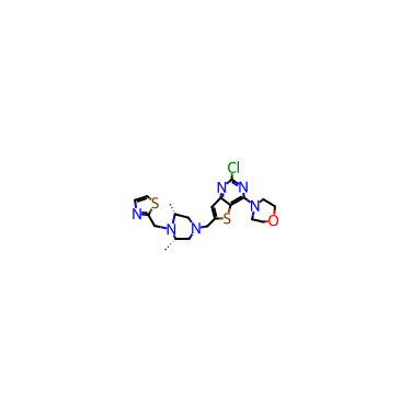 C[C@@H]1CN(Cc2cc3nc(Cl)nc(N4CCOCC4)c3s2)C[C@H](C)N1Cc1nccs1